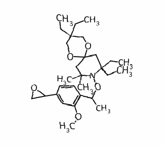 CCC1(CC)COC2(CC(C)(C)N(OC(C)c3ccc(C4CO4)cc3OC)C(CC)(CC)C2)OC1